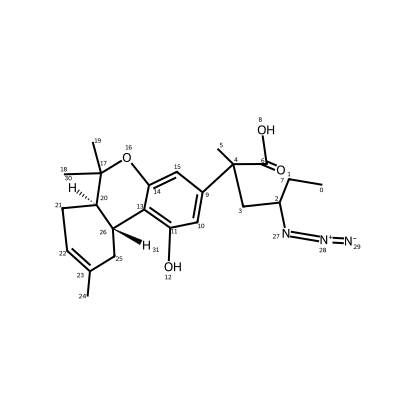 CCC(CC(C)(C(=O)O)c1cc(O)c2c(c1)OC(C)(C)[C@@H]1CC=C(C)C[C@@H]21)N=[N+]=[N-]